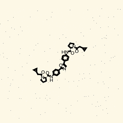 O=C(Nc1ccc(-c2cnc(-c3ccc(NC(=O)[C@@H]4CCCN4C(=O)CC4CC4)cc3)o2)cc1)[C@@H]1CCCN1C(=O)CC1CC1